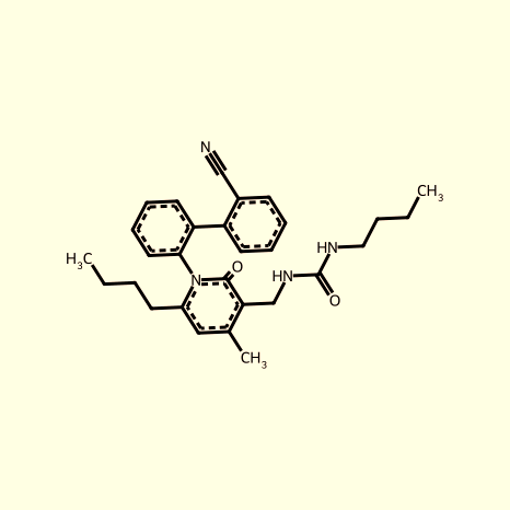 CCCCNC(=O)NCc1c(C)cc(CCCC)n(-c2ccccc2-c2ccccc2C#N)c1=O